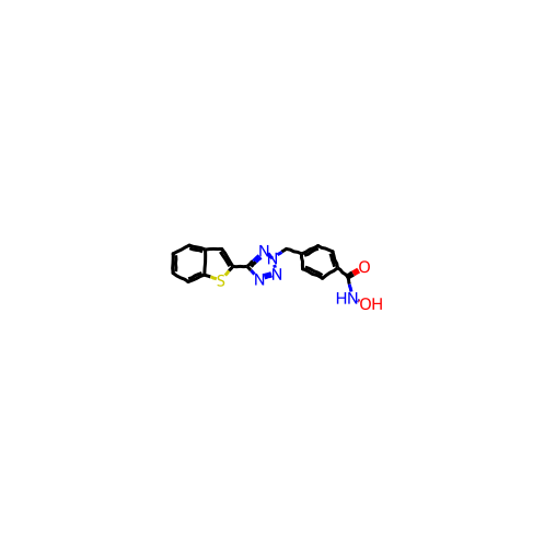 O=C(NO)c1ccc(Cn2nnc(-c3cc4ccccc4s3)n2)cc1